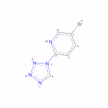 Brc1ccc(-n2cnnn2)nc1